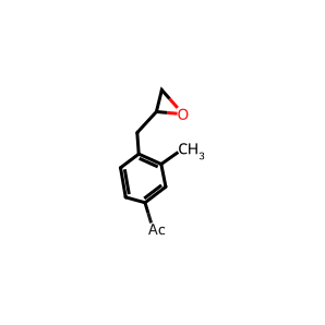 CC(=O)c1ccc(CC2CO2)c(C)c1